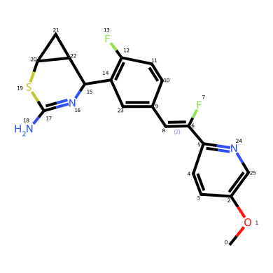 COc1ccc(/C(F)=C/c2ccc(F)c(C3N=C(N)SC4CC43)c2)nc1